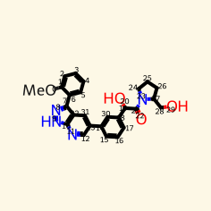 COc1ccccc1-c1n[nH]c2ncc(-c3cccc(C(O)C(=O)N4CCCC4CO)c3)cc12